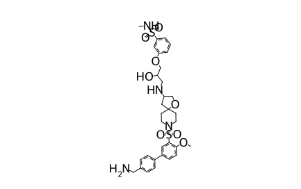 CNS(=O)(=O)c1cccc(OCC(O)CNC2COC3(CCN(S(=O)(=O)c4cc(-c5ccc(CN)cc5)ccc4OC)CC3)C2)c1